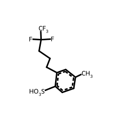 Cc1ccc(S(=O)(=O)O)c(CCCC(F)(F)C(F)(F)F)c1